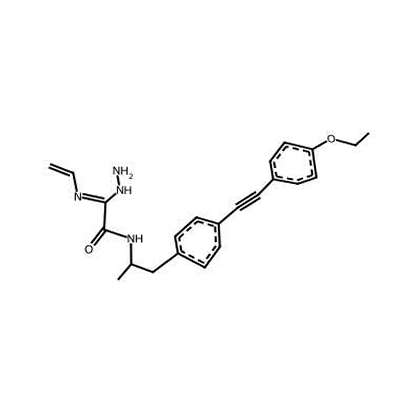 C=C/N=C(\NN)C(=O)NC(C)Cc1ccc(C#Cc2ccc(OCC)cc2)cc1